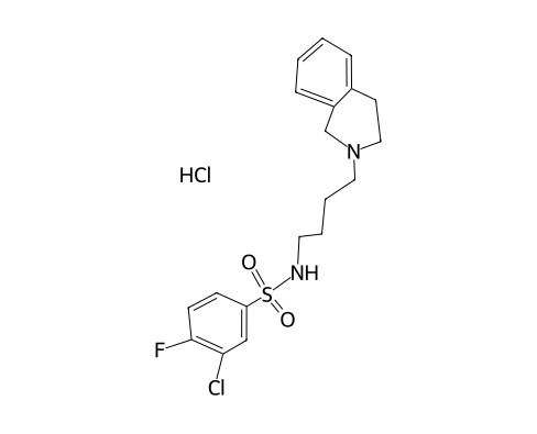 Cl.O=S(=O)(NCCCCN1CCc2ccccc2C1)c1ccc(F)c(Cl)c1